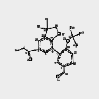 CCC(=O)c1cc(-c2cc(C=O)ccc2OC(F)(F)F)c2c(c1)C(C)(C)CO2